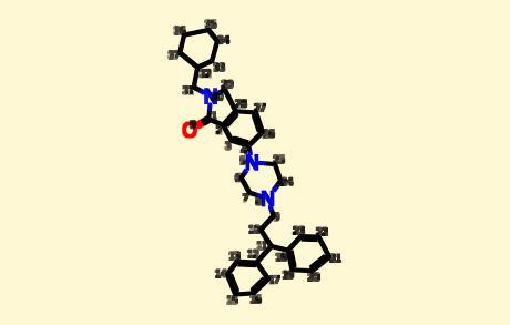 O=C1c2cc(N3CCN(CCC(c4ccccc4)c4ccccc4)CC3)ccc2CN1CC1CCCCC1